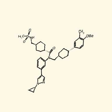 COc1ccc([C@H]2CC[C@H](CN(c3cccc(-c4cnn(C5CC5)c4)c3)C(=O)[C@H]3CC[C@H](CNS(C)(=O)=O)CC3)CC2)cc1C